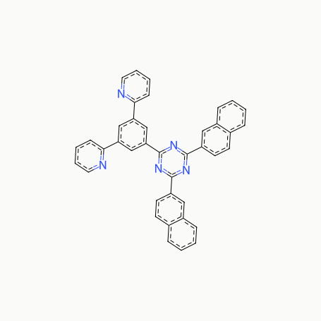 c1ccc(-c2cc(-c3ccccn3)cc(-c3nc(-c4ccc5ccccc5c4)nc(-c4ccc5ccccc5c4)n3)c2)nc1